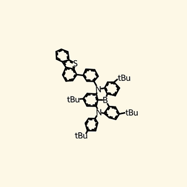 CC(C)(C)c1ccc(N2c3ccc(C(C)(C)C)cc3B3c4ccc(C(C)(C)C)cc4N(c4cccc(-c5cccc6c5sc5ccccc56)c4)c4cc(C(C)(C)C)cc2c43)cc1